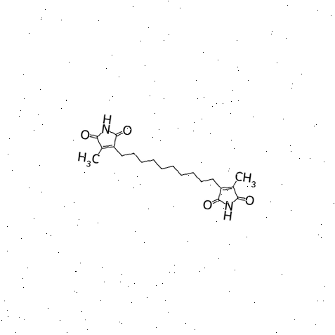 CC1=C(CCCCCCCCCCC2=C(C)C(=O)NC2=O)C(=O)NC1=O